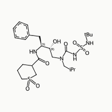 CC(C)CN(C[C@@H](O)[C@H](Cc1ccccc1)NC(=O)C1CCCS(=O)(=O)C1)C(=O)NS(=O)(=O)NC(C)(C)C